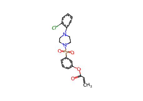 C=CC(=O)Oc1cccc(S(=O)(=O)N2CCN(c3ccccc3Cl)CC2)c1